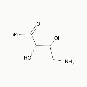 CC(C)C(=O)[C@@H](O)C(O)CN